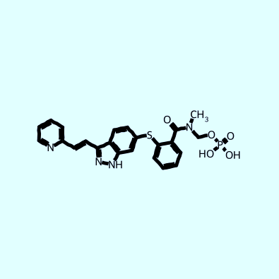 CN(COP(=O)(O)O)C(=O)c1ccccc1Sc1ccc2c(/C=C/c3ccccn3)n[nH]c2c1